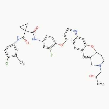 CNC(=O)CN1CCC(Oc2cc3nccc(Oc4ccc(NC(=O)C5(C(=O)Nc6ccc(Cl)c(C(F)(F)F)c6)CC5)cc4F)c3cc2OC)CC1